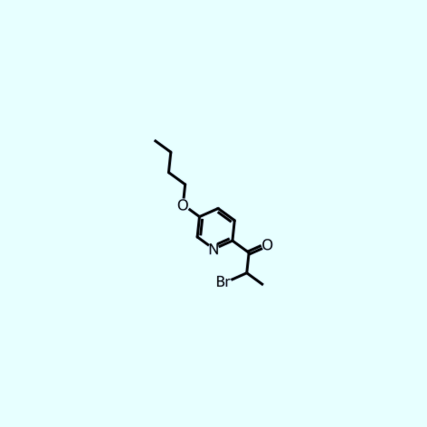 CCCCOc1ccc(C(=O)C(C)Br)nc1